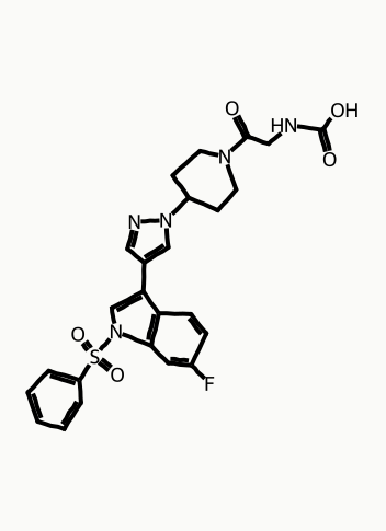 O=C(O)NCC(=O)N1CCC(n2cc(-c3cn(S(=O)(=O)c4ccccc4)c4cc(F)ccc34)cn2)CC1